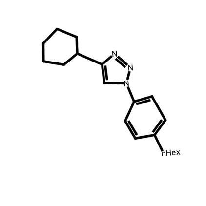 CCCCCCc1ccc(-n2cc(C3CCCCC3)nn2)cc1